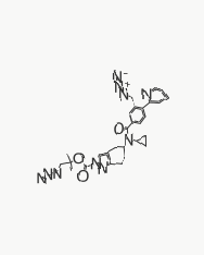 CC(C)(CN=[N+]=[N-])OC(=O)n1cc2c(n1)CCC(N(C(=O)c1ccc(-c3ccccn3)c(CN=[N+]=[N-])c1)C1CC1)C2